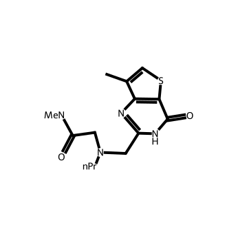 CCCN(CC(=O)NC)Cc1nc2c(C)csc2c(=O)[nH]1